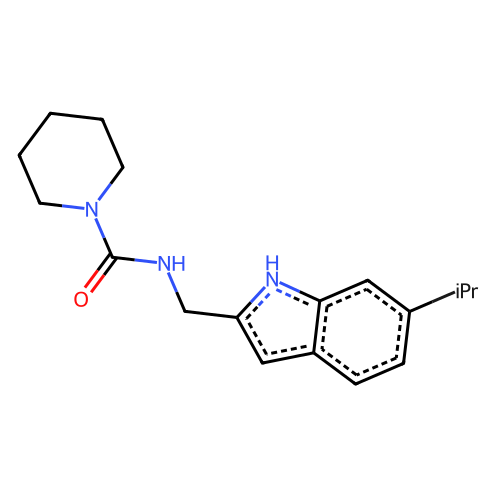 CC(C)c1ccc2cc(CNC(=O)N3CCCCC3)[nH]c2c1